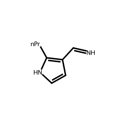 CCCc1[nH]ccc1C=N